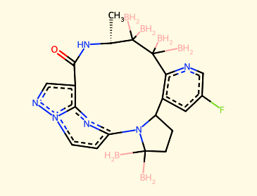 BC1(B)CCC2c3cc(F)cnc3C(B)(B)C(B)(B)[C@@H](C)NC(=O)c3cnn4ccc(nc34)N21